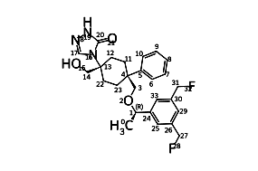 C[C@@H](OC[C@]1(c2ccccc2)CC[C@@](CO)(n2cn[nH]c2=O)CC1)c1cc(CF)cc(CF)c1